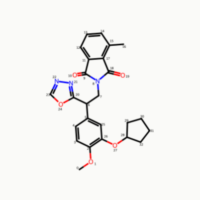 COc1ccc(C(CN2C(=O)c3cccc(C)c3C2=O)c2nnco2)cc1OC1CCCC1